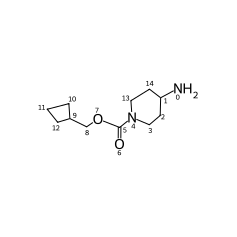 NC1CCN(C(=O)OCC2CCC2)CC1